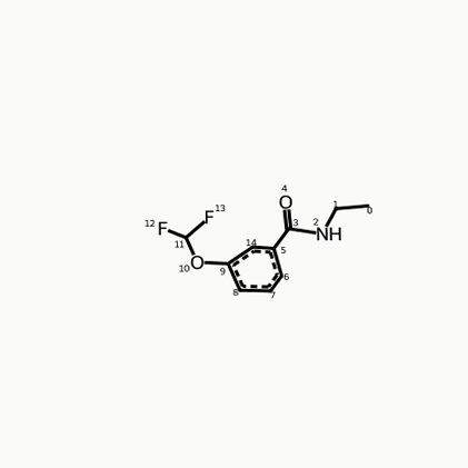 CCNC(=O)c1cccc(OC(F)F)c1